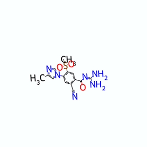 Cc1cn(-c2cc(C#N)c(C(=O)N=C(N)N)cc2S(C)(=O)=O)cn1